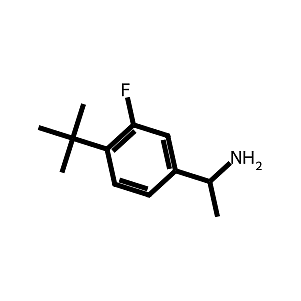 CC(N)c1ccc(C(C)(C)C)c(F)c1